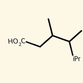 CC(C)C(C)C(C)CC(=O)O